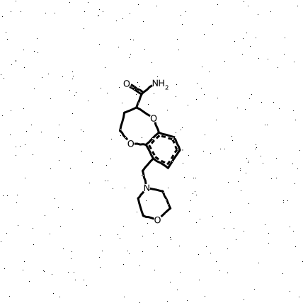 NC(=O)C1CCOc2c(CN3CCOCC3)c[c]cc2O1